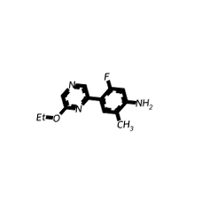 CCOc1cncc(-c2cc(C)c(N)cc2F)n1